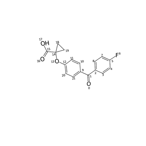 O=C(c1ccc(F)cc1)c1ccc(OC2(C(=O)O)CC2)cc1